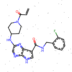 C=CC(=O)N1CCC(Nc2cnc3[nH]cc(C(=O)NCc4ccccc4F)c3n2)CC1